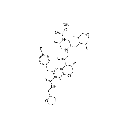 C[C@@H]1CN(CC(=O)N2c3cc(Cc4ccc(F)cc4)c(C(=O)NC[C@H]4CCCO4)nc3OC[C@@H]2C)[C@@H](CN2[C@H](C)COC[C@H]2C)CN1C(=O)OC(C)(C)C